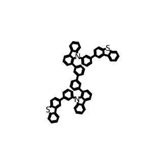 c1cc(-c2cccc(-c3cccc4c5ccccc5n(-c5cccc(-c6ccc7sc8ccccc8c7c6)c5)c34)c2)cc(-c2cccc3c4ccccc4n(-c4cccc(-c5ccc6sc7ccccc7c6c5)c4)c23)c1